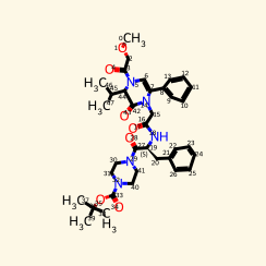 COCC(=O)N1C=C(c2ccccc2)N(CC(=O)N[C@@H](Cc2ccccc2)C(=O)N2CCN(C(=O)OC(C)(C)C)CC2)C(=O)C1C(C)C